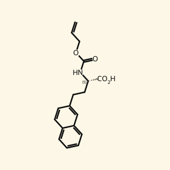 C=CCOC(=O)N[C@@H](CCc1ccc2ccccc2c1)C(=O)O